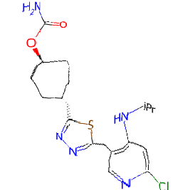 CC(C)Nc1cc(Cl)ncc1-c1nnc([C@H]2CC[C@H](OC(N)=O)CC2)s1